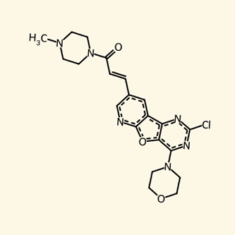 CN1CCN(C(=O)/C=C/c2cnc3oc4c(N5CCOCC5)nc(Cl)nc4c3c2)CC1